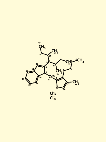 CCCCC1=[C]([Zr+2][CH]2C(P(C(C)CC)C(C)CC)=Cc3ccccc32)CC=C1C.[Cl-].[Cl-]